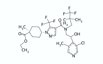 CCOC(=O)[C@]1(C)CC[C@@H](n2ncc(C(=O)N(CC(O)c3c(C)cncc3Cl)CC(C)(C)C(F)(F)F)c2C(F)(F)F)CC1